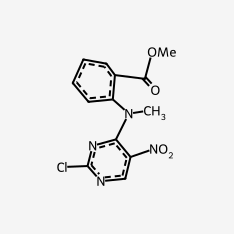 COC(=O)c1ccccc1N(C)c1nc(Cl)ncc1[N+](=O)[O-]